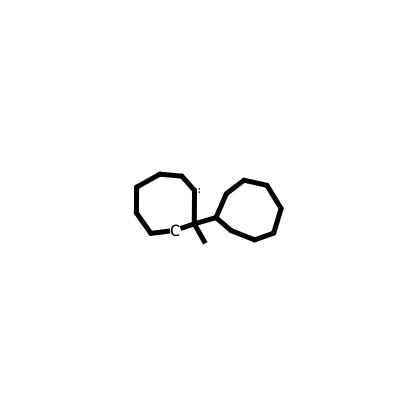 CC1(C2CCCCCCC2)[C]CCCCCC1